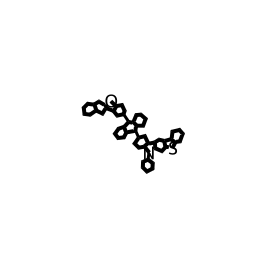 c1ccc(-n2c3ccc(-c4c5ccccc5c(-c5ccc6oc7cc8ccccc8cc7c6c5)c5ccccc45)cc3c3cc4c(cc32)sc2ccccc24)cc1